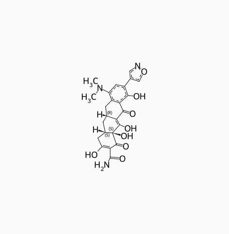 CN(C)c1cc(-c2cnoc2)c(O)c2c1C[C@H]1C[C@H]3CC(O)=C(C(N)=O)C(=O)[C@@]3(O)C(O)=C1C2=O